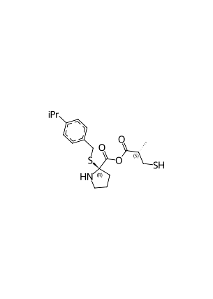 CC(C)c1ccc(CS[C@@]2(C(=O)OC(=O)[C@H](C)CS)CCCN2)cc1